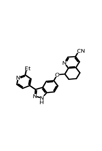 CCc1cc(-c2n[nH]c3ccc(OC4CCCc5cc(C#N)cnc54)cc23)ccn1